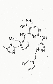 COc1c(Nc2nc(Nc3cnn(CCN(CC(C)C)CC(C)C)c3)ncc2C(N)=O)cccc1-c1ncn(C)n1